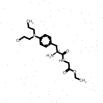 CCCN(CCCl)c1ccc(C[C@H](N)C(=O)NCC(=O)OCC)cc1